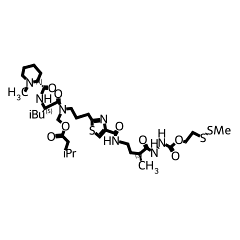 CCC(C)[C@H](NC(=O)[C@H]1CCCCN1C)C(=O)N(CCCc1nc(C(=O)NCC[C@H](C)C(=O)NNC(=O)OCCSSC)cs1)COC(=O)CC(C)C